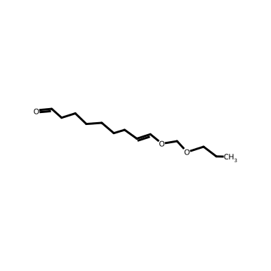 CCCOCOC=CCCCCCCC=O